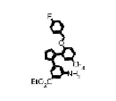 CCOC(=O)c1cc(N)cc(C2=C(c3cc(C(F)(F)F)ccc3OCc3ccc(F)cc3)CCC2)c1